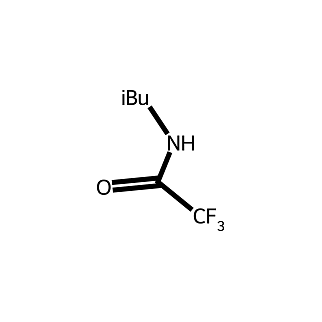 [CH2]CC(C)NC(=O)C(F)(F)F